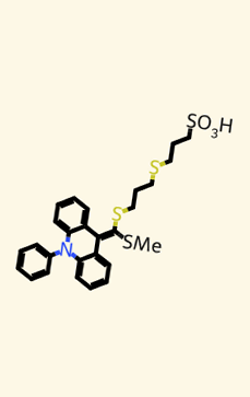 CSC(SCCCSCCCS(=O)(=O)O)=C1c2ccccc2N(c2ccccc2)c2ccccc21